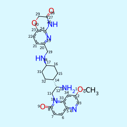 COc1cnc2ccc(=O)n(CC(N)[C@H]3CC[C@H](NCc4ccc5c(n4)NC(=O)CO5)CC3)c2c1